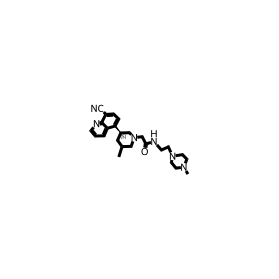 CC1C[C@@H](c2ccc(C#N)c3ncccc23)CN(CC(=O)NCCN2CCN(C)CC2)C1